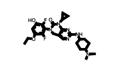 CCOc1cc(O)c(F)c(N2Cc3cnc(NC4CCC(N(C)C)CC4)nc3N(C3CC3)C2=O)c1F